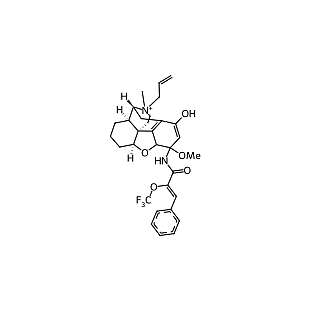 C=CC[N+]1(C)CC[C@@]23C4=C5C[C@@H]1[C@@H]2CCC[C@@H]3OC4C(NC(=O)C(=Cc1ccccc1)OC(F)(F)F)(OC)C=C5O